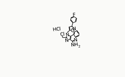 Cl.Nc1nc2ccccc2c2c1nc(CCl)n2Cc1cc(-c2ccc(F)cc2)no1